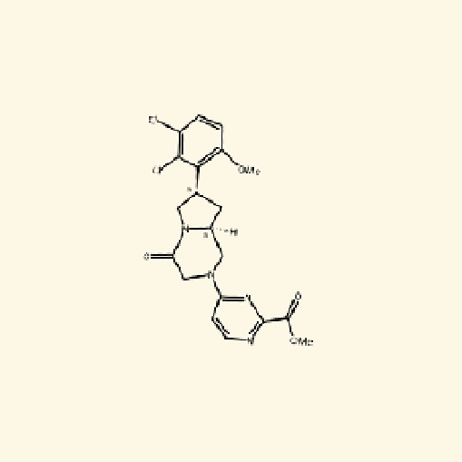 COC(=O)c1nccc(N2CC(=O)N3C[C@@H](c4c(OC)ccc(Cl)c4Cl)C[C@H]3C2)n1